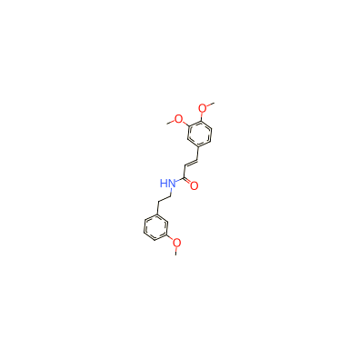 COc1cccc(CCNC(=O)/C=C/c2ccc(OC)c(OC)c2)c1